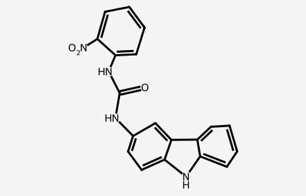 O=C(Nc1ccc2[nH]c3ccccc3c2c1)Nc1ccccc1[N+](=O)[O-]